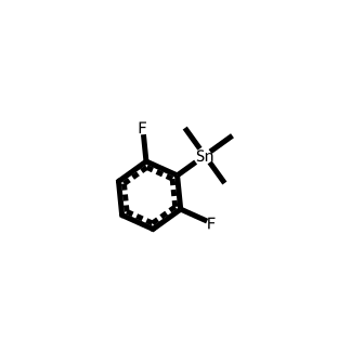 [CH3][Sn]([CH3])([CH3])[c]1c(F)cccc1F